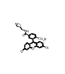 NCCCNC(=O)c1ccc(C(=O)O)c(-c2c3ccc(=O)cc-3oc3cc(O)ccc23)c1